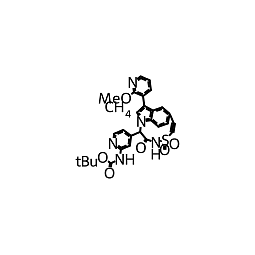 C.COc1ncccc1-c1cn2c3ccc(cc13)C#CS(=O)(=O)NC(=O)C2c1ccnc(NC(=O)OC(C)(C)C)c1